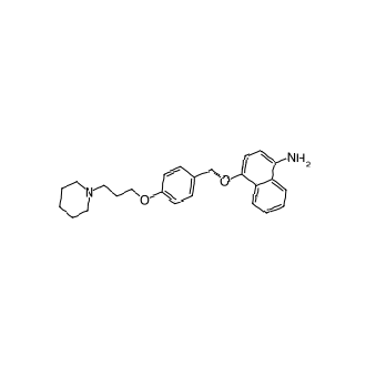 Nc1ccc(OCc2ccc(OCCCN3CCCCC3)cc2)c2ccccc12